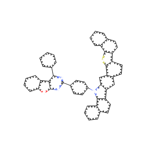 c1ccc(-c2nc(-c3ccc(-n4c5cc6c(ccc7c8ccc9ccccc9c8sc67)cc5c5ccc6ccccc6c54)cc3)nc3oc4ccccc4c23)cc1